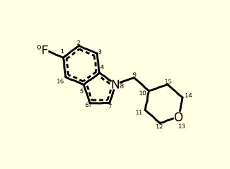 Fc1ccc2c([c]cn2CC2CCOCC2)c1